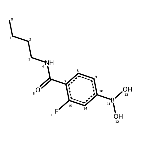 CCCCNC(=O)c1ccc(B(O)O)cc1F